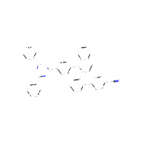 N#Cc1ccc(-c2ccccc2-c2ccc3ccccc3c2-c2ccc(-c3nc(-c4ccccc4)nc(-c4ccccc4)n3)cc2)cc1